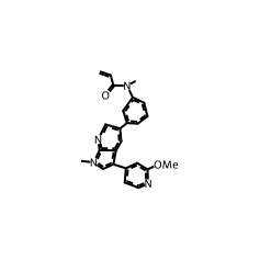 C=CC(=O)N(C)c1cccc(-c2cnc3c(c2)c(-c2ccnc(OC)c2)cn3C)c1